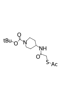 CC(=O)SCC(=O)NC1CCN(C(=O)OC(C)(C)C)CC1